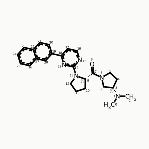 CN(C)[C@H]1CCN(C(=O)[C@@H]2CCCN2c2nccc(-c3ccc4ccccc4c3)n2)C1